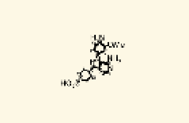 COc1cc(-n2nc(C3CCN(C(=O)O)CC3)c3ncnc(N)c32)ccc1N